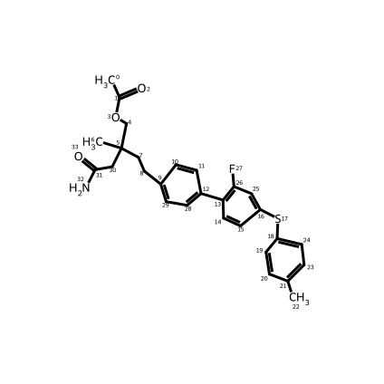 CC(=O)OCC(C)(CCc1ccc(-c2ccc(Sc3ccc(C)cc3)cc2F)cc1)CC(N)=O